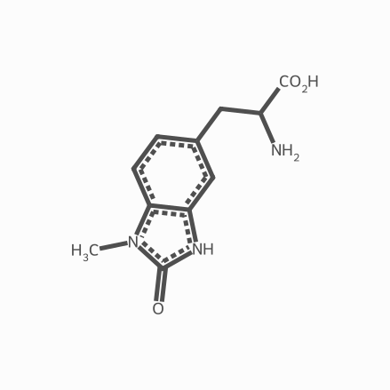 Cn1c(=O)[nH]c2cc(CC(N)C(=O)O)ccc21